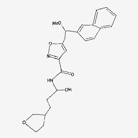 COC(c1ccc2ccccc2c1)c1cc(C(=O)NC(O)CCC2CCOC2)no1